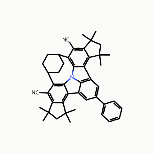 CC1(C)CC(C)(C)c2c1c(C#N)c1c3c2c2cc(-c4ccccc4)cc4c5c6c(c(C#N)c(c5n3c24)C2CCC1CC2)C(C)(C)CC6(C)C